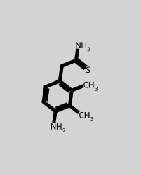 Cc1c(N)ccc(CC(N)=S)c1C